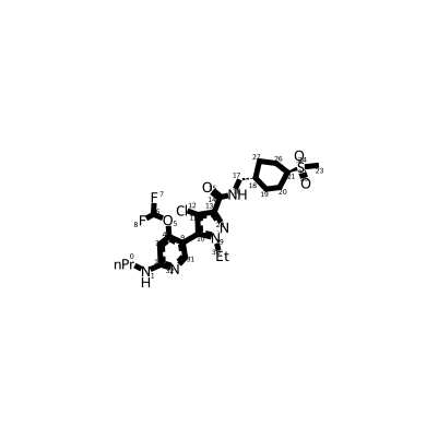 CCCNc1cc(OC(F)F)c(-c2c(Cl)c(C(=O)NC[C@H]3CC[C@H](S(C)(=O)=O)CC3)nn2CC)cn1